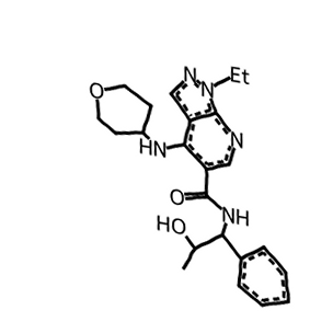 CCn1ncc2c(NC3CCOCC3)c(C(=O)NC(c3ccccc3)C(C)O)cnc21